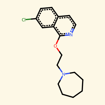 Clc1ccc2ccnc(OCCN3CCCCCC3)c2c1